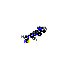 C=CN(/C=C1/C(C(F)(F)F)=CC(CN(C)Cc2cncs2)=CN1C)c1cccc(C(c2nncn2C)C2CCC2)c1